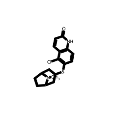 CN1C2CCC1CC(Sc1ccc3[nH]c(=O)ccc3c1Cl)C2